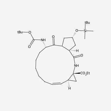 CCOC(=O)[C@@]12C[C@H]1/C=C\CCCCC[C@H](NC(=O)OC(C)(C)C)C(=O)C1C[C@H](O[Si](C)(C)C(C)(C)C)C[C@H]1C(=O)N2